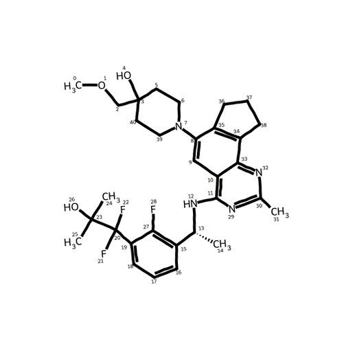 COCC1(O)CCN(c2cc3c(N[C@H](C)c4cccc(C(F)(F)C(C)(C)O)c4F)nc(C)nc3c3c2CCC3)CC1